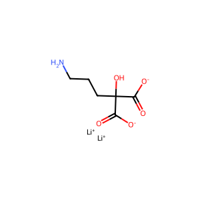 NCCCC(O)(C(=O)[O-])C(=O)[O-].[Li+].[Li+]